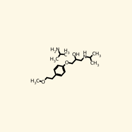 CC(C)N.COCCc1ccc(OCC(O)CNC(C)C)cc1